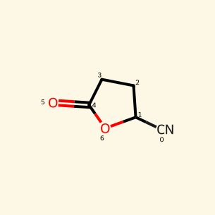 N#CC1CCC(=O)O1